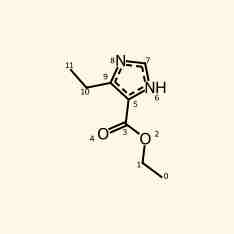 CCOC(=O)c1[nH]cnc1CC